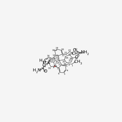 CCCc1cccc(CCC)c1C(c1c(CCC)cccc1CCC)(C1CCC(OC(N)=O)CC1)C1CCC(OC(N)=O)CC1